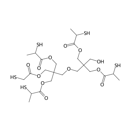 CC(S)C(=O)OCC(CO)(COCC(COC(=O)CS)(COC(=O)C(C)S)COC(=O)C(C)S)COC(=O)C(C)S